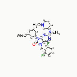 COc1cccc(-n2c(=O)n(Cc3c(F)cccc3F)c3cnc(N(C)C4CCCN(C)C4)nc32)c1